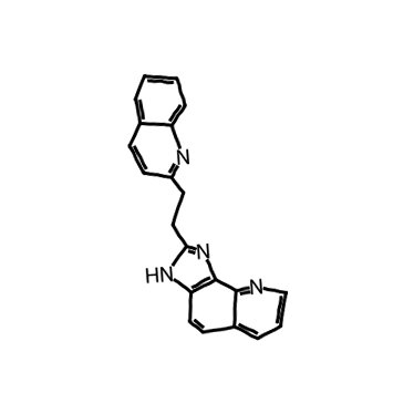 c1ccc2nc(CCc3nc4c(ccc5cccnc54)[nH]3)ccc2c1